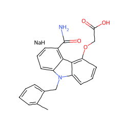 Cc1ccccc1Cn1c2cccc(OCC(=O)O)c2c2c(C(N)=O)cccc21.[NaH]